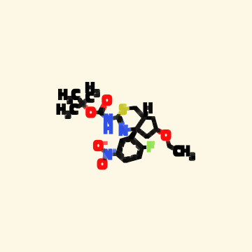 CCO[C@@H]1C[C@H]2CSC(NC(=O)OC(C)(C)C)=N[C@@]2(c2cc([N+](=O)[O-])ccc2F)C1